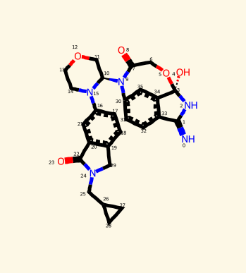 N=C1N[C@]2(O)OCC(=O)N([C@@H]3COCCN3c3ccc4c(c3)C(=O)N(CC3CC3)C4)c3ccc1c2c3